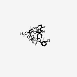 COC(=O)C1(Cc2nc(Nc3cc(C)n(C(=O)OC(C)(C)C)n3)ccc2F)CCN(C(C)c2cccc(Cl)c2F)[C@H](C)C1